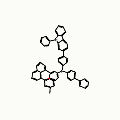 Fc1cccc(-c2cccc3cccc(-c4cccc(N(c5ccc(-c6ccccc6)cc5)c5ccc(-c6ccc7c8ccccc8n(-c8ccccc8)c7c6)cc5)c4)c23)c1